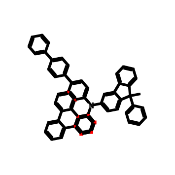 CC1(c2ccccc2)c2ccccc2-c2cc(N(c3ccc(-c4ccc(-c5ccccc5)cc4)cc3)c3ccccc3-c3ccccc3-c3ccccc3-c3ccccc3)ccc21